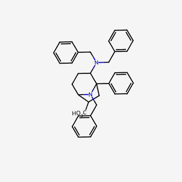 O=C(O)C1CC2(c3ccccc3)C(N(Cc3ccccc3)Cc3ccccc3)CCC1N2Cc1ccccc1